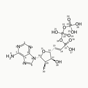 Nc1ncnc2c1ncn2[C@@H]1O[C@H](/C=C/P(=O)(O)OP(=O)(O)OP(=O)(O)O)[C@@H](O)[C@H]1F